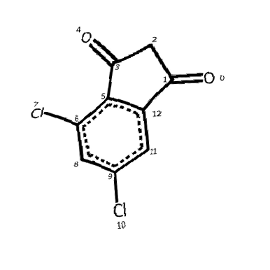 O=C1CC(=O)c2c(Cl)cc(Cl)cc21